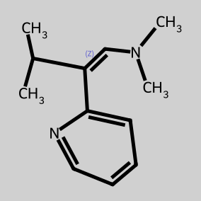 CC(C)/C(=C/N(C)C)c1ccccn1